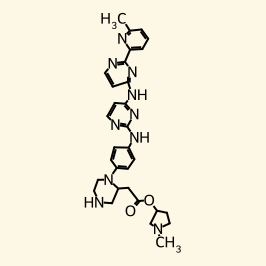 Cc1cccc(-c2nccc(Nc3ccnc(Nc4ccc(N5CCNCC5CC(=O)OC5CCN(C)C5)cc4)n3)n2)n1